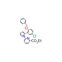 CCOC(=O)c1cccc(-n2cccc2-c2cc(Cl)ccc2OCc2ccccc2)n1